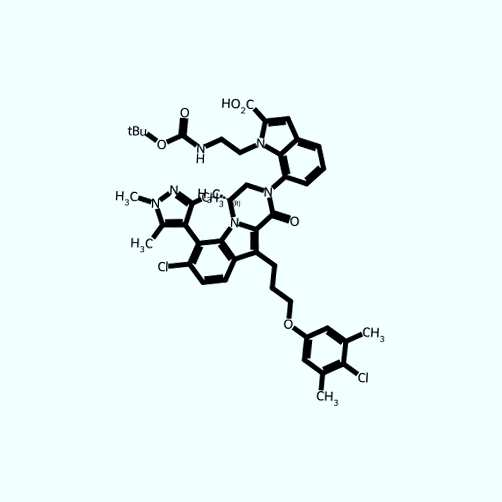 Cc1cc(OCCCc2c3n(c4c(-c5c(C)nn(C)c5C)c(Cl)ccc24)[C@H](C)CN(c2cccc4cc(C(=O)O)n(CCNC(=O)OC(C)(C)C)c24)C3=O)cc(C)c1Cl